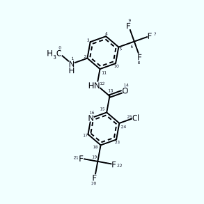 CNc1ccc(C(F)(F)F)cc1NC(=O)c1ncc(C(F)(F)F)cc1Cl